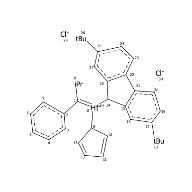 CC(C)[C](c1ccccc1)=[Hf+2]([CH]1C=CC=C1)[CH]1c2cc(C(C)(C)C)ccc2-c2ccc(C(C)(C)C)cc21.[Cl-].[Cl-]